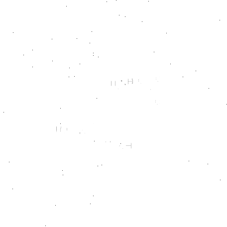 COc1ccc(C(N)CC2(C)OCCO2)cc1OC